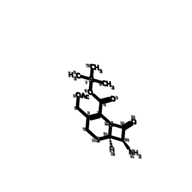 CC(=O)OCC1=C(C(=O)O[Si](C)(C)C)N2C(=O)[C@@H](N)[C@H]2SC1